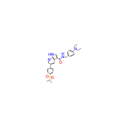 CCN(CC)c1ccc(CNC(=O)c2c[nH]c3ncc(-c4ccc(S(=O)(=O)C(C)C)cc4)cc23)cc1